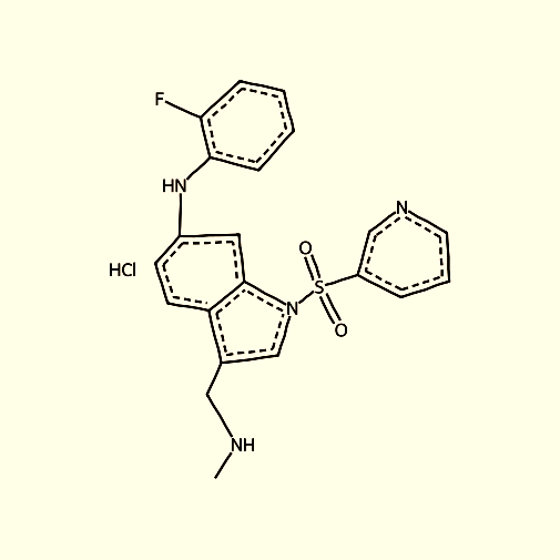 CNCc1cn(S(=O)(=O)c2cccnc2)c2cc(Nc3ccccc3F)ccc12.Cl